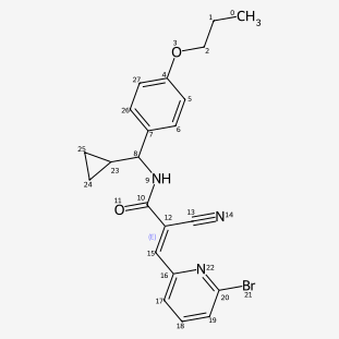 CCCOc1ccc(C(NC(=O)/C(C#N)=C/c2cccc(Br)n2)C2CC2)cc1